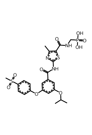 Cc1nc(NC(=O)c2cc(Oc3ccc(S(C)(=O)=O)cc3)cc(OC(C)C)c2)sc1C(=O)NCP(=O)(O)O